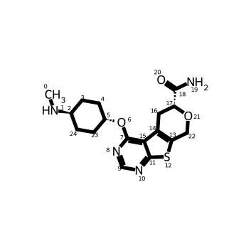 CN[C@H]1CC[C@H](Oc2ncnc3sc4c(c23)C[C@H](C(N)=O)OC4)CC1